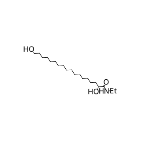 CCNC(=O)C(O)CCCCCCCCCCCCCCCCO